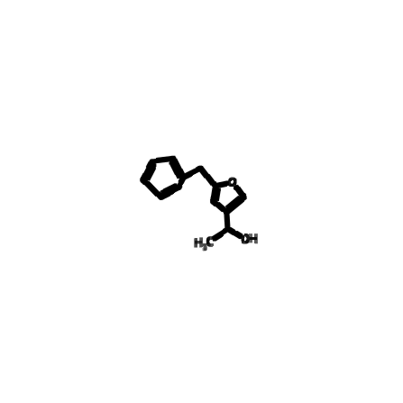 CC(O)c1coc(Cc2ccccc2)c1